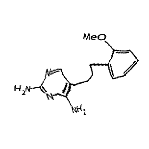 COc1ccccc1CCc1cnc(N)nc1N